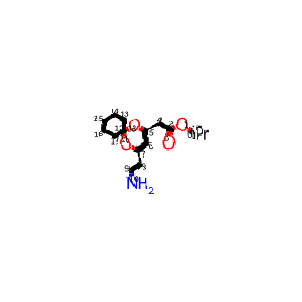 CC(C)OC(=O)C[C@H]1C[C@@H](CCN)OC2(CCCCC2)O1